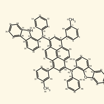 Cc1cccc(-c2cc(N(c3ccccc3)c3cccc4c3[nH]c3ccccc34)c3ccc4c(-c5cccc(C)c5)cc(N(c5ccccc5)c5cccc6c5oc5ccccc56)c5ccc2c3c45)c1